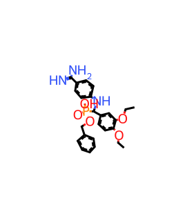 CCOc1ccc(C(Nc2ccc(C(=N)N)cc2)P(=O)(O)OCc2ccccc2)cc1OCC